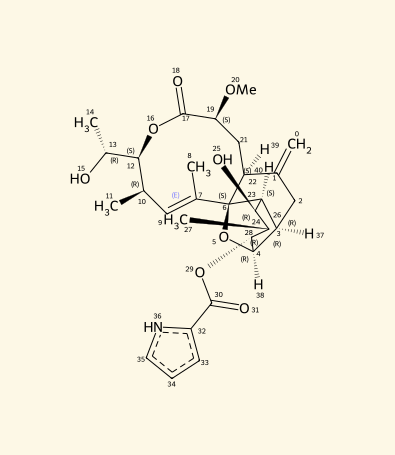 C=C1C[C@H]2[C@H]3O[C@]4(/C(C)=C/[C@@H](C)[C@@H]([C@@H](C)O)OC(=O)[C@@H](OC)C[C@@H]14)[C@@H]2[C@H](O)[C@@H](C)[C@H]3OC(=O)c1ccc[nH]1